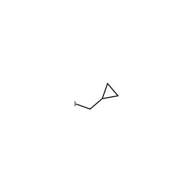 ICC1CC1